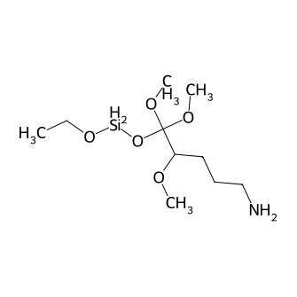 CCO[SiH2]OC(OC)(OC)C(CCCN)OC